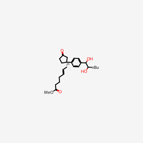 CCCCC(O)C(O)c1ccc([C@@]2(CC=CCCCC(=O)OC)CCC(=O)C2)cc1